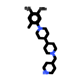 COc1cc(N2CCC(C3CCN(CC4CCNCC4)CC3)CC2)c(C)cc1[N+](=O)[O-]